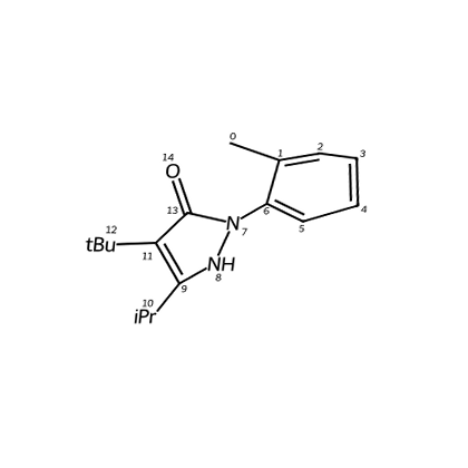 Cc1ccccc1-n1[nH]c(C(C)C)c(C(C)(C)C)c1=O